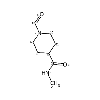 CNC(=O)C1CCN([C]=O)CC1